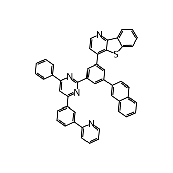 c1ccc(-c2cc(-c3cccc(-c4ccccn4)c3)nc(-c3cc(-c4ccc5ccccc5c4)cc(-c4ccnc5c4sc4ccccc45)c3)n2)cc1